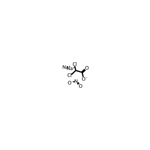 O=C([O-])C(Cl)Cl.O=N[O-].[Na+].[Na+]